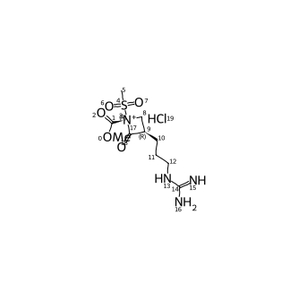 COC(=O)[N@@+]1(S(C)(=O)=O)C[C@@H](CCCNC(=N)N)C1=O.Cl